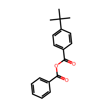 CC(C)(C)c1ccc(C(=O)OC(=O)c2ccccc2)cc1